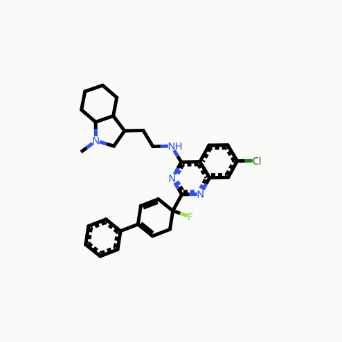 CN1CC(CCNc2nc(C3(F)C=CC(c4ccccc4)=CC3)nc3cc(Cl)ccc23)C2CCCCC21